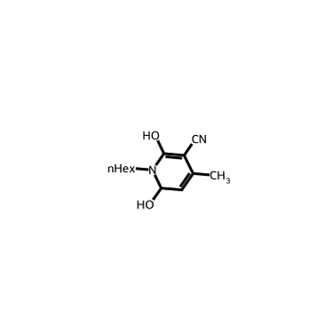 CCCCCCN1C(O)=C(C#N)C(C)=CC1O